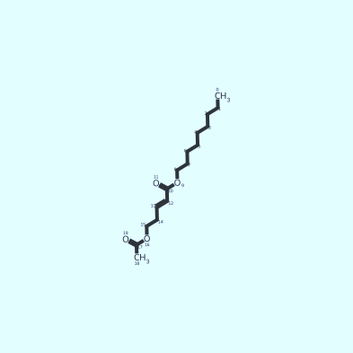 CCCCCCCCCOC(=O)C=CCCOC(C)=O